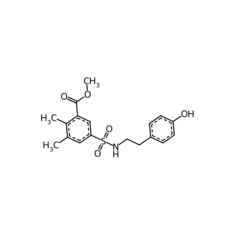 COC(=O)c1cc(S(=O)(=O)NCCc2ccc(O)cc2)cc(C)c1C